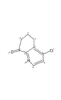 O=C1CCCc2c(Cl)ccnc21